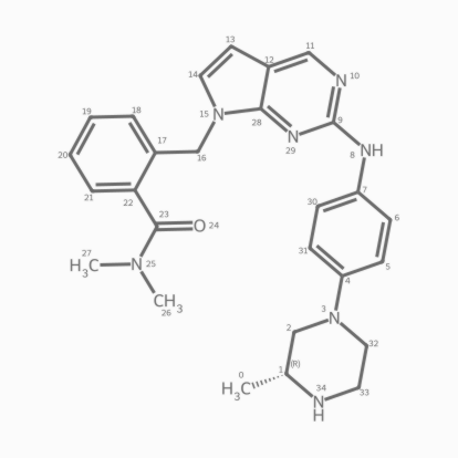 C[C@@H]1CN(c2ccc(Nc3ncc4ccn(Cc5ccccc5C(=O)N(C)C)c4n3)cc2)CCN1